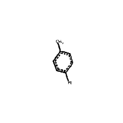 Cc1cc[c]([Pt])cc1